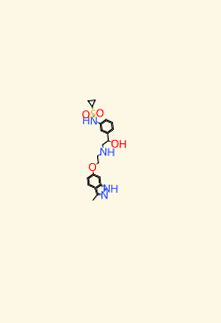 Cc1n[nH]c2cc(OCCNCC(O)c3cccc(NS(=O)(=O)C4CC4)c3)ccc12